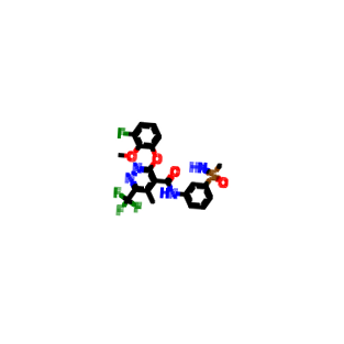 COc1c(F)cccc1Oc1nnc(C(F)(F)F)c(C)c1C(=O)Nc1cccc(S(C)(=N)=O)c1